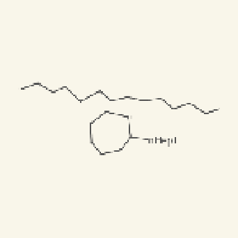 CCCCCCCC1[CH]CCCCC1.[CH2]CCCCCCCCCCCCC